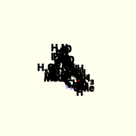 COc1cc2cc(c1Cl)N(C)C(=O)C[C@H](OC(=O)Nc1ccc(NC(=O)[C@H](CCCNC(N)=O)NC(=O)[C@@H](NC(=O)CCCCC(C)(C)OC(=O)C(CBr)CBr)C(C)C)c(C(F)(F)F)c1)[C@]1(C)O[C@H]1[C@H](C)[C@@H]1C[C@@](O)(NC(=O)O1)[C@H](OC)/C=C/C=C(\C)C2